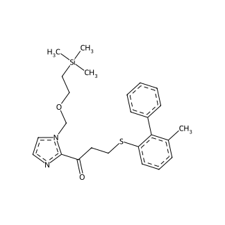 Cc1cccc(SCCC(=O)c2nccn2COCC[Si](C)(C)C)c1-c1ccccc1